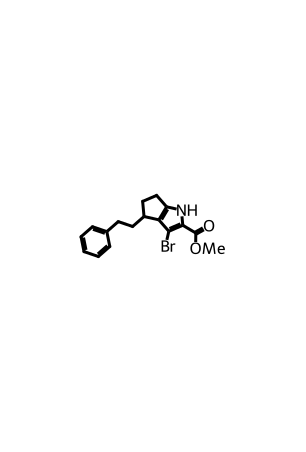 COC(=O)c1[nH]c2c(c1Br)C(CCc1ccccc1)CC2